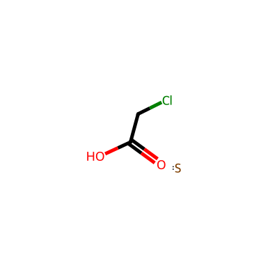 O=C(O)CCl.[S]